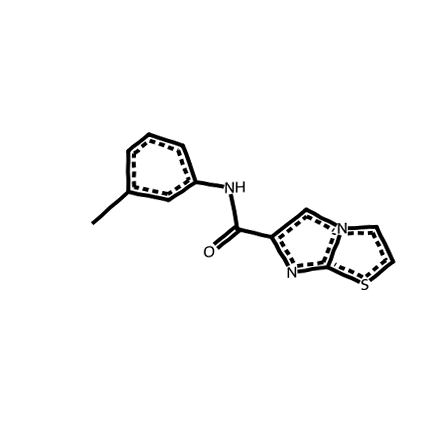 Cc1cccc(NC(=O)c2cn3ccsc3n2)c1